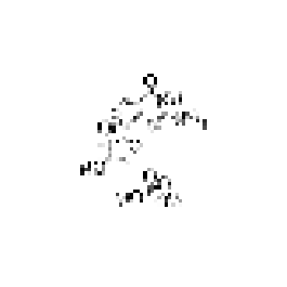 C[C@@]1(O)[C@H](O)[C@@H](COP(=O)(O)O)O[C@H]1c1scc2c(=O)[nH]c(N)nc12